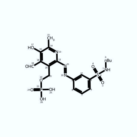 CCCCNS(=O)(=O)c1cccc(N=Nc2nc(C)c(O)c(C=O)c2COP(=O)(O)O)c1